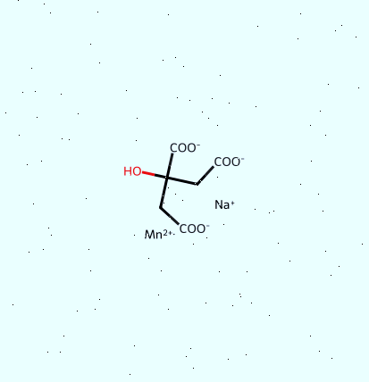 O=C([O-])CC(O)(CC(=O)[O-])C(=O)[O-].[Mn+2].[Na+]